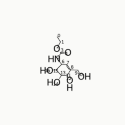 CCOC(=O)NC1C=C(CO)C(O)C(O)C1O